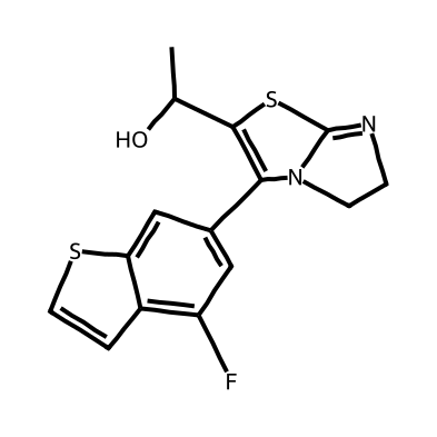 CC(O)C1=C(c2cc(F)c3ccsc3c2)N2CCN=C2S1